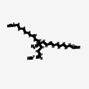 Br.CCCCCCCCCCCCCCCCOCCC(N)(CCCN)CCOCCCCCCCCCCCCCCCC